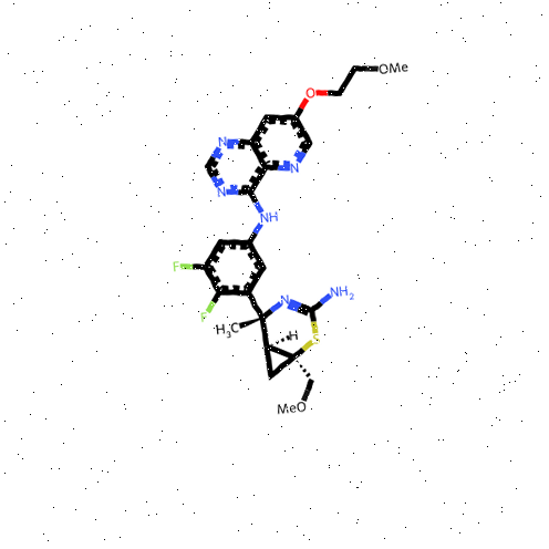 COCCOc1cnc2c(Nc3cc(F)c(F)c([C@]4(C)N=C(N)S[C@@]5(COC)C[C@H]54)c3)ncnc2c1